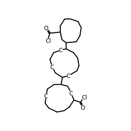 O=C(Cl)C1CCCCCCCCC(C2CCCCCC(C3CCCCCCCC(C(=O)Cl)C3)CCCCC2)CC1